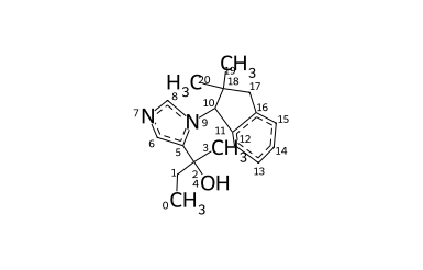 CCC(C)(O)c1cncn1C1c2ccccc2CC1(C)C